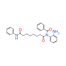 Nc1ccccc1N(C(=O)CCCCCCC(=O)Nc1ccccc1)C(=O)c1ccccc1